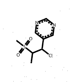 CC(C(Cl)c1cncnc1)S(C)(=O)=O